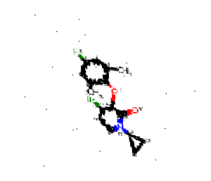 Cc1cc(F)cc(C)c1Oc1c(Br)ccn(C2CC2)c1=O